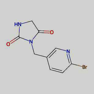 O=C1CNC(=O)N1Cc1ccc(Br)nc1